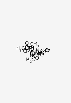 Cc1nn(-c2cnc(C(N)=O)c(NC(N)C(=O)OC3CCCC3)n2)c2c1C(=O)CC(C)(C)C2